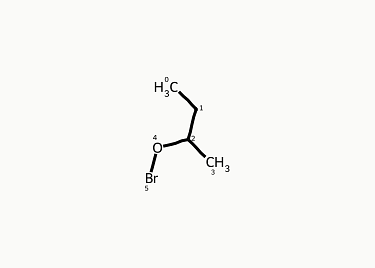 CCC(C)OBr